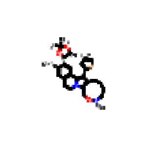 CCOC(=O)[C@@H]1OC(C)(C)O[C@H]1c1cc2c(cc1OC)CCn1c3c(c(-c4cccs4)c1-2)CCCCN(C(C)(C)C)OC3